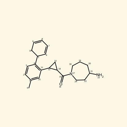 Cc1ccc(C2C=CC=CC2)c(C2CC2C(=O)N2CCCC(N)CC2)c1